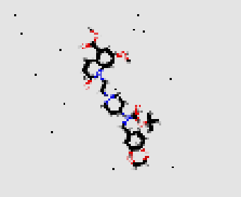 COC(=O)c1cc(OC)cc2c1ccc(=O)n2CCN1CCC(N(Cc2ccc3c(c2)OCCO3)C(=O)OC(C)(C)C)CC1